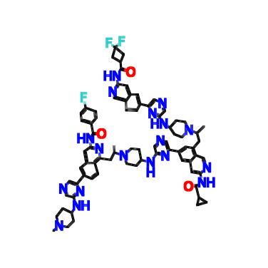 CC(Cc1cc(-c2cncc(NC3CCN(C(C)Cc4nc(NC(=O)c5ccc(F)cc5)cc5cc(-c6cncc(NC7CCN(C)CC7)n6)ccc45)CC3)n2)cc2cc(NC(=O)C3CC3)ncc12)N1CCC(Nc2cncc(-c3ccc4cnc(NC(=O)C5CC(F)(F)C5)cc4c3)n2)CC1